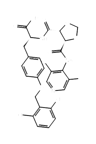 O=C(O)[C@H](Cc1ccc(OCc2c(Cl)cccc2Cl)cc1)NC(=O)[C@@H]1OCO[C@H]1C(=O)Nc1c(Cl)cncc1Cl